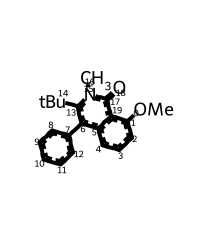 COc1cccc2c(-c3ccccc3)c(C(C)(C)C)n(C)c(=O)c12